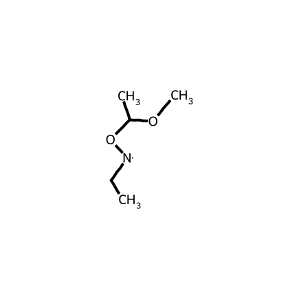 CC[N]OC(C)OC